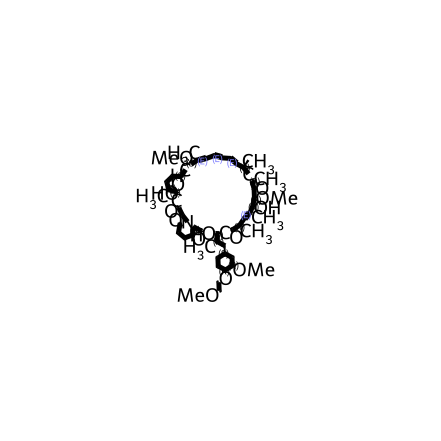 COCCO[C@@H]1CC[C@@H](C[C@@H](C)[C@@H]2CC(=O)[C@H](C)/C=C(\C)[C@@H](O)[C@@H](OC)C(=O)[C@H](C)C[C@H](C)/C=C/C=C/C=C(\C)[C@@H](OC)C[C@@H]3CC[C@@H](C)[C@](O)(CC(=O)C(=O)N4CCCC[C@H]4C(=O)O2)O3)C[C@H]1OC